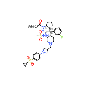 COC(=O)N[C@H]1CCC[C@@H]1[C@](CNS(C)(=O)=O)(c1cccc(F)c1)C1CCN(CC2CN(c3ccc(S(=O)(=O)C4CC4)cc3)C2)CC1